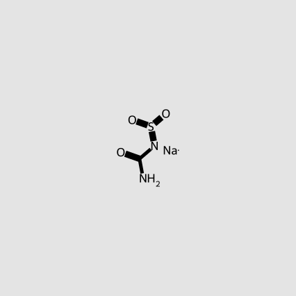 NC(=O)N=S(=O)=O.[Na]